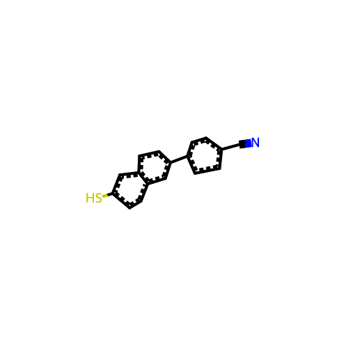 N#Cc1ccc(-c2ccc3cc(S)ccc3c2)cc1